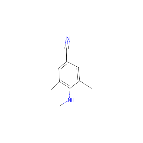 CNc1c(C)cc(C#N)cc1C